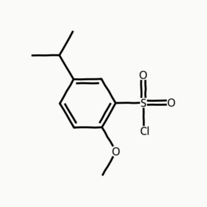 COc1ccc(C(C)C)cc1S(=O)(=O)Cl